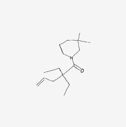 C=CCC(CC)(CC)C(=O)N1CCCC(C)(C)C1